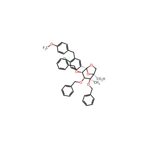 C[C@]1(OCc2ccccc2)[C@@H](OCc2ccccc2)[C@@H](OCc2ccccc2)[C@@]2(c3ccc(Cl)c(Cc4ccc(OC(F)(F)F)cc4)c3)OC[C@]1(C(=O)O)O2